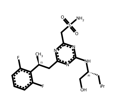 CC(C)C[C@H](CO)Nc1nc(C[C@H](C)c2c(F)cccc2F)nc(CS(N)(=O)=O)n1